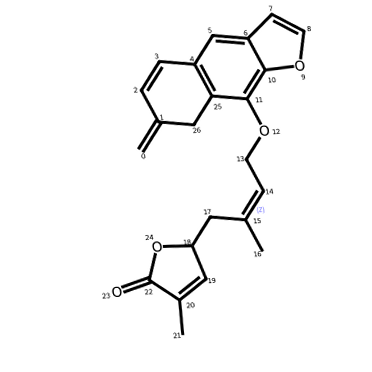 C=C1C=Cc2cc3ccoc3c(OC/C=C(/C)CC3C=C(C)C(=O)O3)c2C1